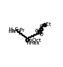 CCCCCCCCC1C(CCCCCC)CCC(CCCCCCCCC(C)(CCC)CCC)C1CCCCCCCCN1C(=O)c2ccc(Oc3ccc(CC)cc3)cc2C1=O